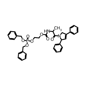 CC(NC(=O)OCCOP(=O)(OCc1ccccc1)OCc1ccccc1)C(=O)N1CC(c2ccccc2)=CC1c1ccccc1